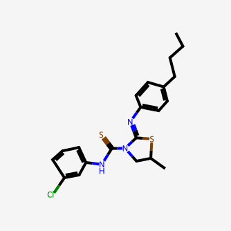 CCCCc1ccc(N=C2SC(C)CN2C(=S)Nc2cccc(Cl)c2)cc1